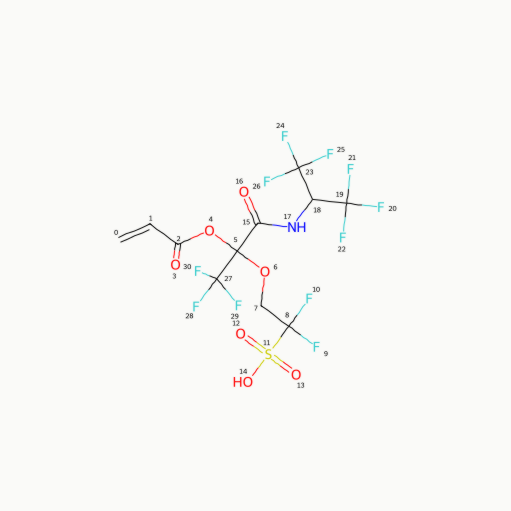 C=CC(=O)OC(OCC(F)(F)S(=O)(=O)O)(C(=O)NC(C(F)(F)F)C(F)(F)F)C(F)(F)F